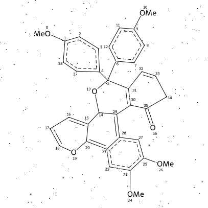 COc1ccc(C2(c3ccc(OC)cc3)OC3C4=CC=COC4=c4cc(OC)c(OC)cc4=C3C3=C2C=CCC3=O)cc1